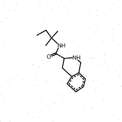 CCC(C)(C)NC(=O)C1Cc2ccccc2CN1